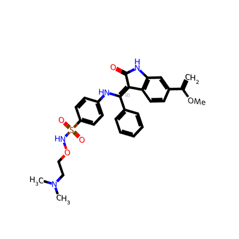 C=C(OC)c1ccc2c(c1)NC(=O)/C2=C(\Nc1ccc(S(=O)(=O)NOCCN(C)C)cc1)c1ccccc1